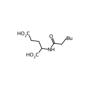 CCC(C)CC(=O)NC(CCC(=O)O)C(=O)O